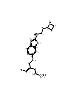 O=C(O)NC/C(=C/F)COc1ccc2nc(NCCC3CCO3)oc2c1